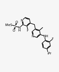 CSS(=O)(=O)Nc1nccc(Cc2cncc(Nc3ccc(C(C)C)cc3F)c2C)c1F